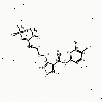 CN(C)/C(=N\S(C)(=O)=O)NCCSc1nonc1C(=N)Nc1ccc(F)c(Br)c1